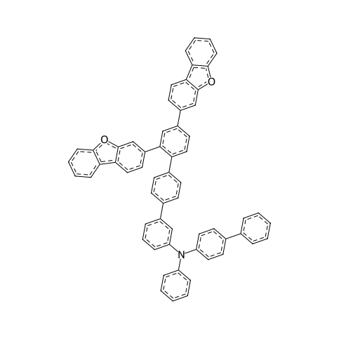 c1ccc(-c2ccc(N(c3ccccc3)c3cccc(-c4ccc(-c5ccc(-c6ccc7c(c6)oc6ccccc67)cc5-c5ccc6c(c5)oc5ccccc56)cc4)c3)cc2)cc1